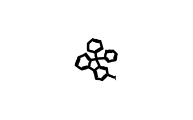 Ic1ccc2c(c1)C(C1=CC=CCC1)(c1ccccc1)c1ccccc1-2